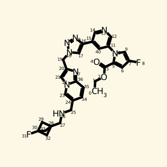 CCOC(=O)c1cc(F)cn1-c1cncc(-c2cn(Cc3cn4cc(CNCC56CC(F)(C5)C6)ccc4n3)nn2)c1